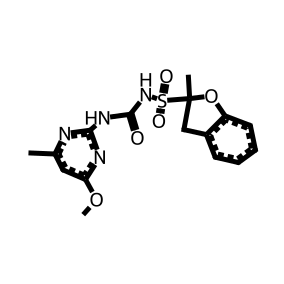 COc1cc(C)nc(NC(=O)NS(=O)(=O)C2(C)Cc3ccccc3O2)n1